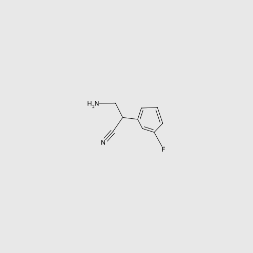 N#CC(CN)c1cccc(F)c1